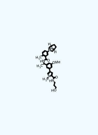 COc1cc(-c2cc(C(=O)NCCCO)n(C)c2)cc([C@@H](C)NC(=O)c2cc(N3C[C@H]4CC[C@@H](C3)N4)ccc2C)c1